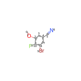 COc1cc(C#N)cc(Br)c1F